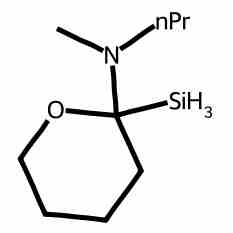 CCCN(C)C1([SiH3])CCCCO1